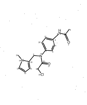 CC(=O)Nc1ccc(N(Cc2cccn2C)C(=O)CCl)cc1